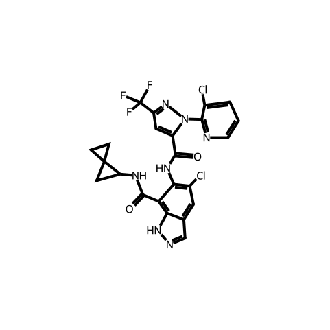 O=C(NC1CC12CC2)c1c(NC(=O)c2cc(C(F)(F)F)nn2-c2ncccc2Cl)c(Cl)cc2cn[nH]c12